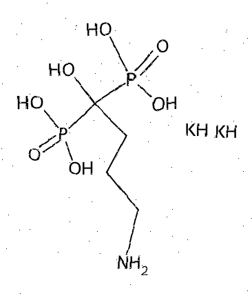 NCCCC(O)(P(=O)(O)O)P(=O)(O)O.[KH].[KH]